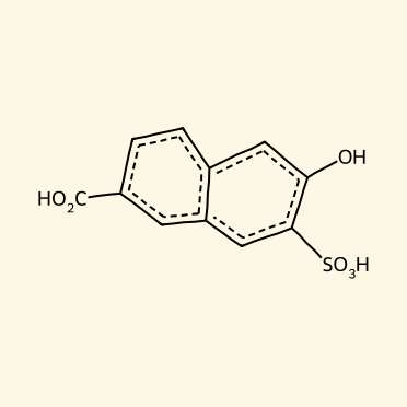 O=C(O)c1ccc2cc(O)c(S(=O)(=O)O)cc2c1